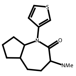 CNC1CCC2CCCC2N(c2ccsc2)C1=O